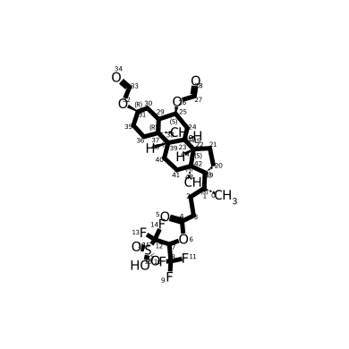 C[C@H](CCC(=O)OC(C(F)(F)F)C(F)(F)S(=O)(=O)O)[C@H]1CC[C@H]2[C@@H]3C[C@H](OC=O)C4C[C@H](OC=O)CC[C@]4(C)[C@H]3CC[C@]12C